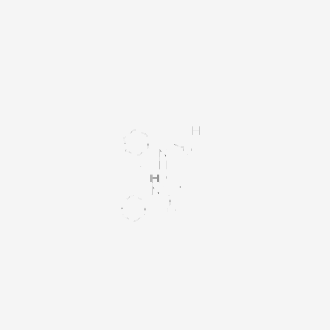 CC1(C(=O)Nc2ccccc2SSc2ccccc2NC(=O)C2(C)CCCCC2)CCCCC1